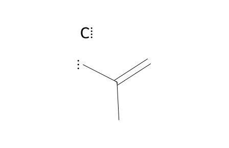 [C].[C]C(=C)C